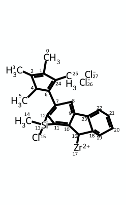 CC1=C(C)C(C)C(c2cc3c(c4c2[Si]4(C)Cl)[CH]([Zr+2])c2ccccc2-3)=C1C.[Cl-].[Cl-]